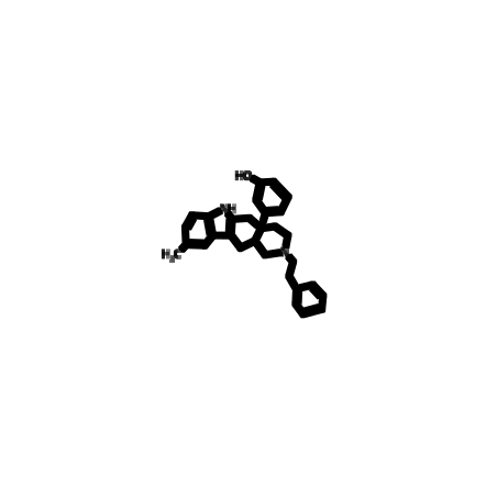 Cc1ccc2[nH]c3c(c2c1)CC1CN(CCc2ccccc2)CCC1(c1cccc(O)c1)C3